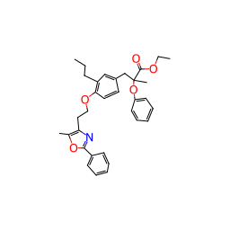 CCCc1cc(CC(C)(Oc2ccccc2)C(=O)OCC)ccc1OCCc1nc(-c2ccccc2)oc1C